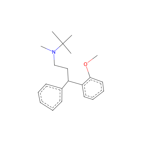 COc1ccccc1C(CCN(C)C(C)(C)C)c1ccccc1